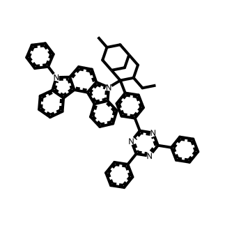 CCC1CC2CC(C)CC(C2)C1(c1ccc(-c2nc(-c3ccccc3)nc(-c3ccccc3)n2)cc1)n1c2ccccc2c2c3c4ccccc4n(-c4ccccc4)c3ccc21